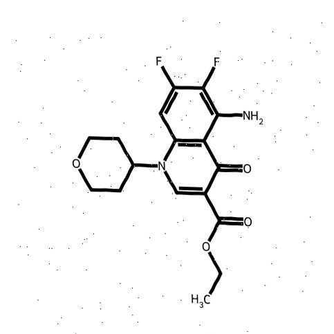 CCOC(=O)c1cn(C2CCOCC2)c2cc(F)c(F)c(N)c2c1=O